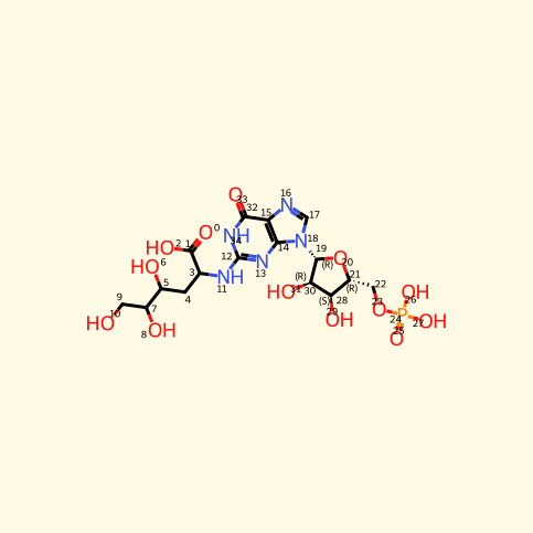 O=C(O)C(CC(O)C(O)CO)Nc1nc2c(ncn2[C@@H]2O[C@H](COP(=O)(O)O)[C@@H](O)[C@H]2O)c(=O)[nH]1